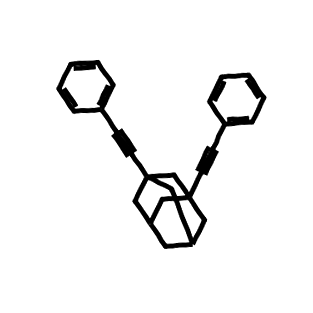 C(#CC12CC3CC(C1)CC(C#Cc1ccccc1)(C3)C2)c1ccccc1